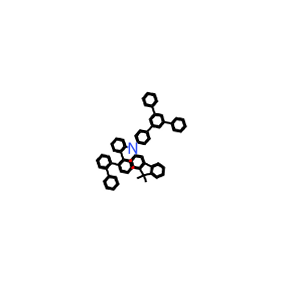 CC1(C)c2ccccc2-c2cc(N(c3ccc(-c4cc(-c5ccccc5)cc(-c5ccccc5)c4)cc3)c3ccccc3-c3ccccc3-c3ccccc3-c3ccccc3)ccc21